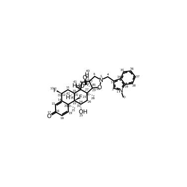 Cn1cc(CN2C[C@@H]3C[C@H]4[C@@H]5C[C@H](F)C6=CC(=O)C=C[C@]6(C)[C@@]5(F)[C@@H](O)C[C@]4(C)[C@]3(C(=O)O)O2)c2ccccc21